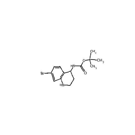 CC(C)(C)OC(=O)NC1CCNc2cc(Br)ccc21